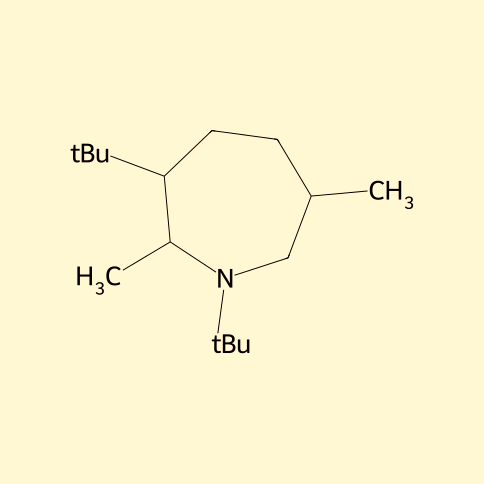 CC1CCC(C(C)(C)C)C(C)N(C(C)(C)C)C1